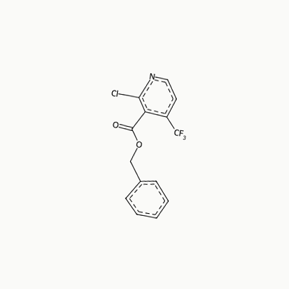 O=C(OCc1ccccc1)c1c(C(F)(F)F)ccnc1Cl